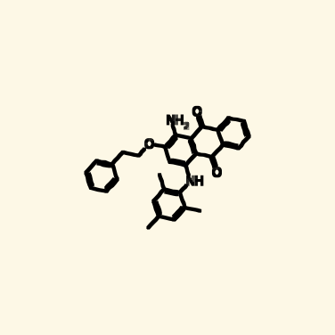 Cc1cc(C)c(Nc2cc(OCCc3ccccc3)c(N)c3c2C(=O)c2ccccc2C3=O)c(C)c1